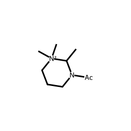 CC(=O)N1CCC[N+](C)(C)C1C